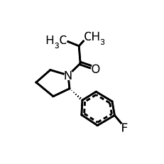 CC(C)C(=O)N1CCC[C@H]1c1ccc(F)cc1